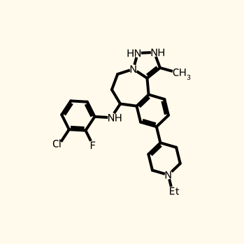 CCN1CC=C(c2ccc3c(c2)C(Nc2cccc(Cl)c2F)CCN2NNC(C)=C32)CC1